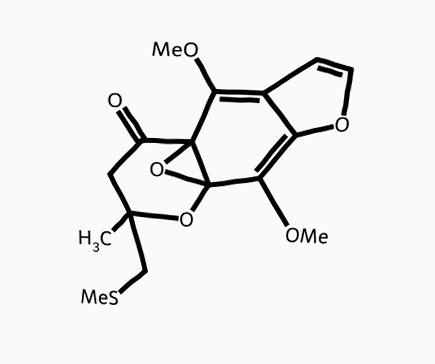 COC1=c2ccoc2=C(OC)C23OC(C)(CSC)CC(=O)C12O3